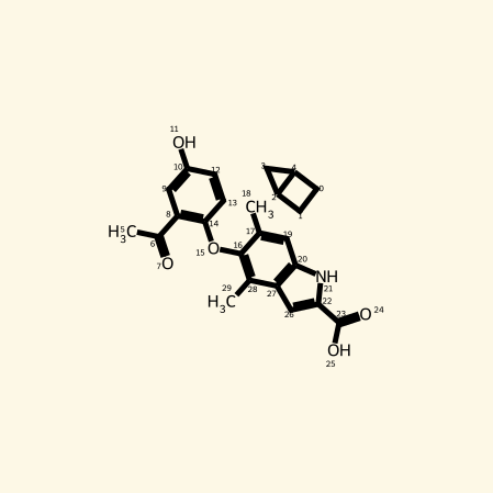 C1CC2CC12.CC(=O)c1cc(O)ccc1Oc1c(C)cc2[nH]c(C(=O)O)cc2c1C